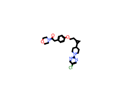 O=C(Cc1ccc(OCCC2CC2C2CCN(c3ncc(Cl)cn3)CC2)cc1)N1CCOCC1